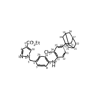 CCOC(=O)c1cnn(Cc2ccc(Nc3ccc(C45CC6CC(CC(C6)C4)C5)cc3Cl)cc2)c1